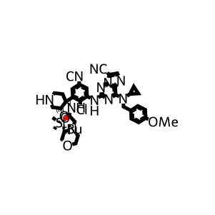 COc1ccc(CN(c2nc(Nc3cc(C#N)cc([C@]4(NC(=O)CN5CCOCC5)CCNC[C@H]4O[Si](C)(C)C(C)(C)C)c3Cl)nn3c(C#N)cnc23)C2CC2)cc1